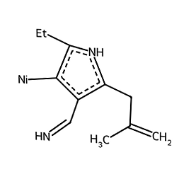 C=C(C)Cc1[nH]c(CC)[c]([Ni])c1C=N